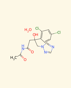 CC(=O)NC(=O)CC(O)(Cn1cncn1)c1ccc(Cl)cc1Cl.O